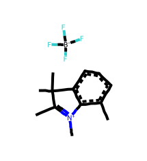 CC1=[N+](C)c2c(C)cccc2C1(C)C.F[B-](F)(F)F